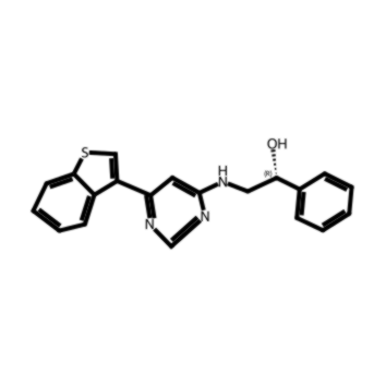 O[C@@H](CNc1cc(-c2csc3ccccc23)ncn1)c1ccccc1